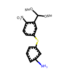 COC(OC)c1cc(Sc2cccc(N)c2)ccc1[N+](=O)[O-]